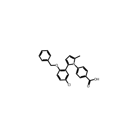 Cc1ccc(-c2cc(Cl)ccc2OCc2ccccc2)n1-c1ccc(C(=O)O)cc1